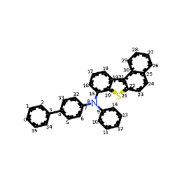 c1ccc(-c2ccc(N(c3ccccc3)c3cccc4c3sc3ccc5ccccc5c34)cc2)cc1